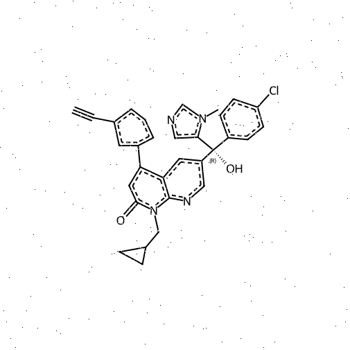 C#Cc1cccc(-c2cc(=O)n(CC3CC3)c3ncc([C@](O)(c4ccc(Cl)cc4)c4cncn4C)cc23)c1